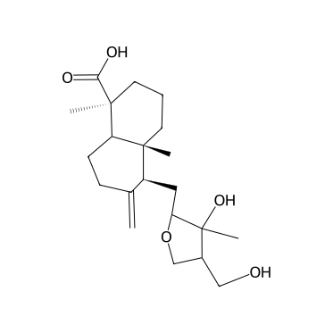 C=C1CCC2[C@](C)(CCC[C@]2(C)C(=O)O)[C@H]1CC1OCC(CO)C1(C)O